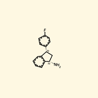 N[C@H]1C[C@@H](c2ccc(F)cc2)c2ccccc21